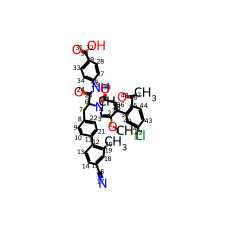 COC(=C/N(C)C(Cc1ccc(-c2ccc(C#N)cc2C)cc1)C(=O)Nc1ccc(C(=O)O)cc1)/C(=C\C=O)c1cc(Cl)ccc1C(C)=O